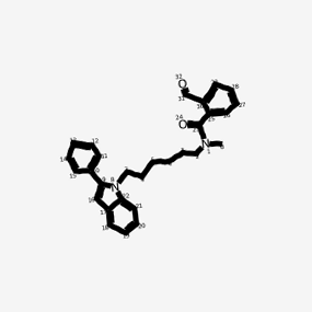 CN(CCCCCCn1c(-c2ccccc2)cc2ccccc21)C(=O)c1ccccc1C=O